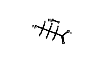 CF.O=C(C(F)(F)F)C(F)(F)C(F)(F)C(F)(F)C(F)(F)F